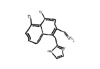 C=Cc1cc(Cl)c2c(Cl)cccc2c1-c1ncc[nH]1